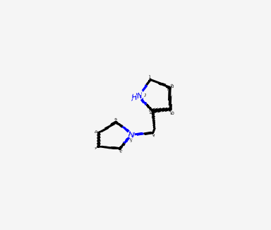 C1CNC(CN2CCCC2)C1